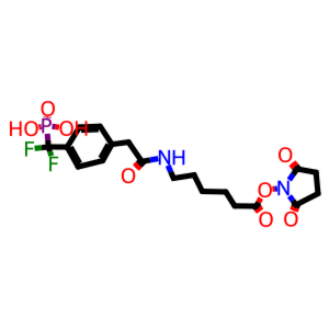 O=C(Cc1ccc(C(F)(F)P(=O)(O)O)cc1)NCCCCCC(=O)ON1C(=O)CCC1=O